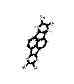 N#Cc1nc2c(nc1C#N)-c1ccc3c4c(ccc-2c14)-c1nc(C#N)c(C#N)nc1-3